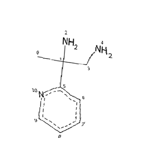 CC(N)(CN)c1ccccn1